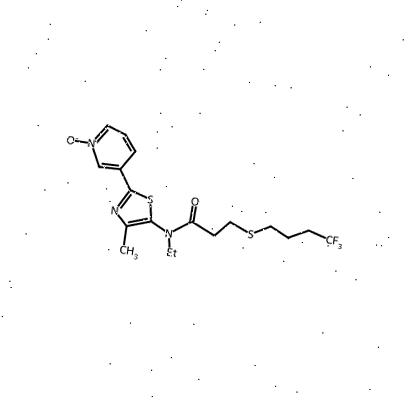 CCN(C(=O)CCSCCCC(F)(F)F)c1sc(-c2ccc[n+]([O-])c2)nc1C